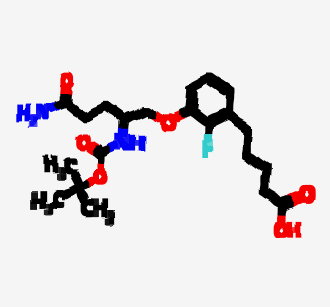 CC(C)(C)OC(=O)NC(CCC(N)=O)COc1cccc(CCCCC(=O)O)c1F